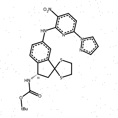 CC(C)(C)OC(=O)N[C@H]1CC2(SCCS2)c2cc(Nc3nc(-n4cccn4)ccc3[N+](=O)[O-])ccc21